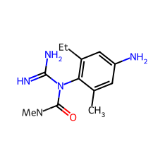 CCc1cc(N)cc(C)c1N(C(=N)N)C(=O)NC